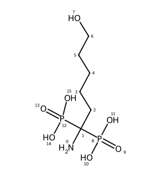 NC(CCCCCO)(P(=O)(O)O)P(=O)(O)O